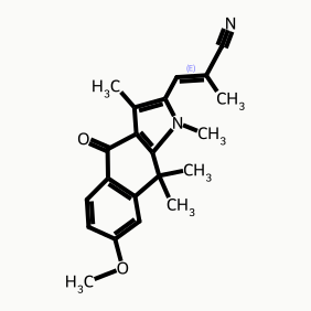 COc1ccc2c(c1)C(C)(C)c1c(c(C)c(/C=C(\C)C#N)n1C)C2=O